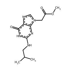 COC(=O)Cn1cnc2c(=O)[nH]c(NCC(C)C)nc21